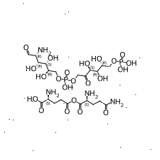 NC(=O)CC[C@H](N)C(=O)OC(=O)CC[C@H](N)C(=O)O.N[C@@H](C=O)[C@@H](O)[C@H](O)[C@H](O)COP(=O)(O)OCC(=O)[C@@H](O)[C@H](O)[C@H](O)COP(=O)(O)O